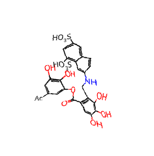 CC(=O)c1cc(O)c(O)c(OC(=O)c2cc(O)c(O)c(O)c2CNc2ccc3cc(S(=O)(=O)O)cc(S(=O)(=O)O)c3c2)c1